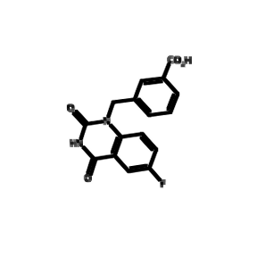 O=C(O)c1cccc(Cn2c(=O)[nH]c(=O)c3cc(F)ccc32)c1